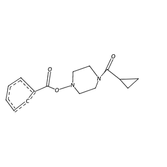 O=C(ON1CCN(C(=O)C2CC2)CC1)c1ccccc1